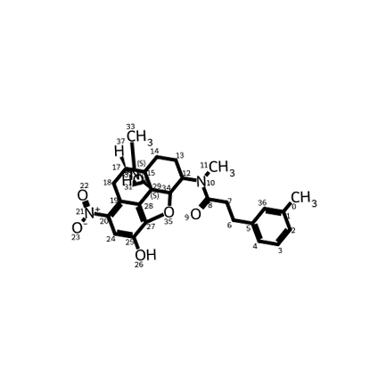 Cc1cccc(CCC(=O)N(C)C2CC[C@@]3(O)[C@H]4Cc5c([N+](=O)[O-])cc(O)c6c5[C@@]3(CCN4C)C2O6)c1